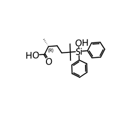 C[C@H](CCC(C)(C)[Si](O)(c1ccccc1)c1ccccc1)C(=O)O